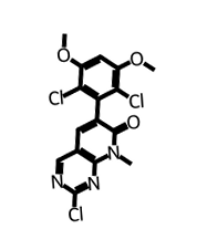 COc1cc(OC)c(Cl)c(-c2cc3cnc(Cl)nc3n(C)c2=O)c1Cl